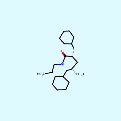 O=C(O)CCNC(=O)[C@H](CC1CCCCC1)C[C@@H](CC1CCCCC1)C(=O)O